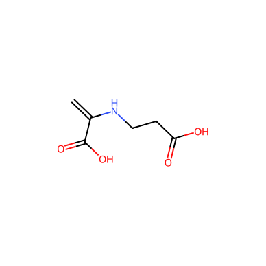 C=C(NCCC(=O)O)C(=O)O